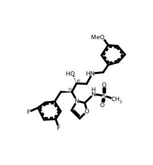 COc1cccc(CNC[C@@H](O)[C@H](Cc2cc(F)cc(F)c2)N2C=COC2NS(C)(=O)=O)c1